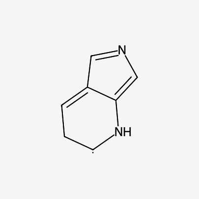 [CH]1CC=C2C=NC=C2N1